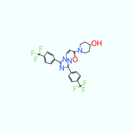 O=C(/C=C\n1nc(-c2ccc(C(F)(F)F)cc2)nc1-c1ccc(C(F)(F)F)cc1)N1CCC(O)CC1